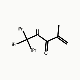 C=C(C)C(=O)NC(C(C)C)(C(C)C)C(C)C